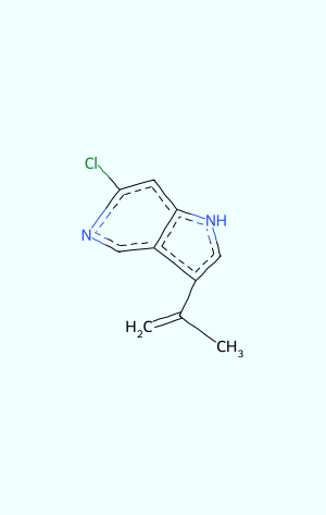 C=C(C)c1c[nH]c2cc(Cl)ncc12